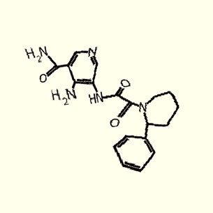 NC(=O)c1cncc(NC(=O)C(=O)N2CCCCC2c2ccccc2)c1N